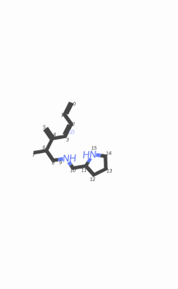 C=C/C=C\C(=C)C(C)CNCC1CCCN1